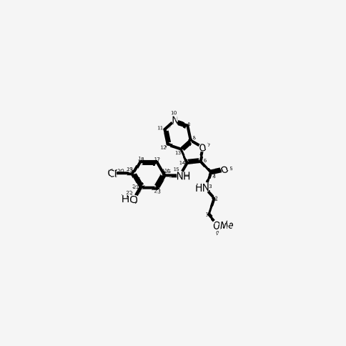 COCCNC(=O)c1oc2cnccc2c1Nc1ccc(Cl)c(O)c1